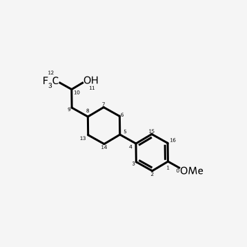 COc1ccc(C2CCC(CC(O)C(F)(F)F)CC2)cc1